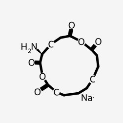 N[C@H]1CCC(=O)OC(=O)CCCCCCCC(=O)OC1=O.[Na]